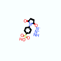 O=C1C=CC(=O)N1c1ccc(S(=O)(=O)O)cc1.[N-]=[N+]=N